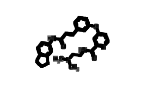 CN(C)CCNC(=O)c1cc(Oc2cccc(C=CC(=O)Nc3ccc4c(c3)CCC4)c2)ccn1